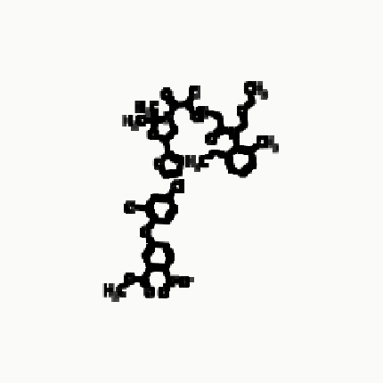 CC1(C)OC(c2ccco2)CN1C(=O)C(Cl)Cl.CCOCN(C(=O)CCl)c1c(C)cccc1CC.COC(=O)c1cc(Oc2ccc(Cl)cc2Cl)ccc1[N+](=O)[O-]